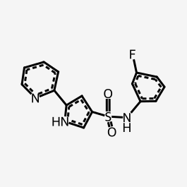 O=S(=O)(Nc1cccc(F)c1)c1c[nH]c(-c2ccccn2)c1